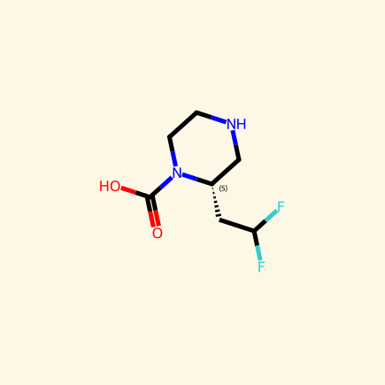 O=C(O)N1CCNC[C@@H]1CC(F)F